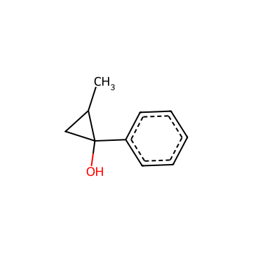 CC1CC1(O)c1ccccc1